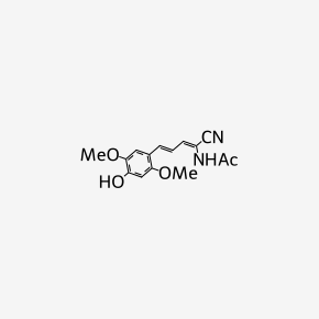 COc1cc(C=CC=C(C#N)NC(C)=O)c(OC)cc1O